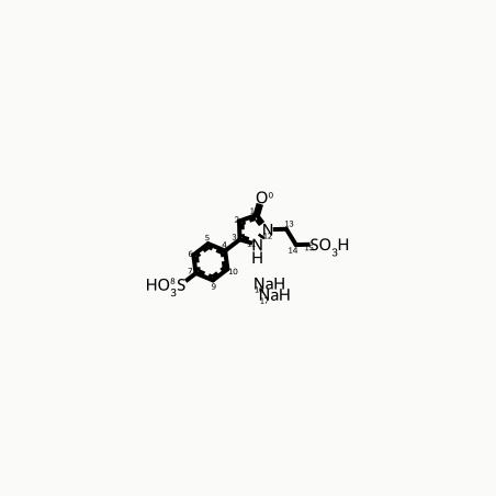 O=c1cc(-c2ccc(S(=O)(=O)O)cc2)[nH]n1CCS(=O)(=O)O.[NaH].[NaH]